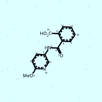 COc1ccc(NC(=O)c2ccccc2C(=O)O)cn1